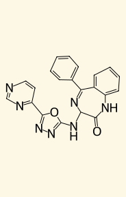 O=C1Nc2ccccc2C(c2ccccc2)=NC1Nc1nnc(-c2ccncn2)o1